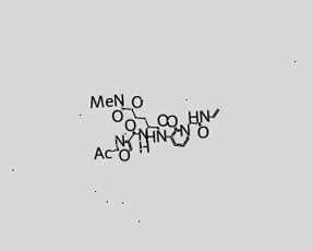 C=CNC(=O)Cn1cccc(NC(=O)C(CCC(=O)C(=O)NC)NC(=O)c2coc(C(C)=O)n2)c1=O